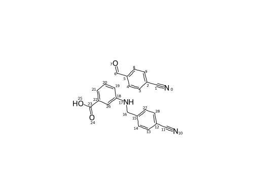 N#Cc1ccc(C=O)cc1.N#Cc1ccc(CNc2cccc(C(=O)O)c2)cc1